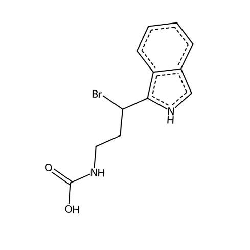 O=C(O)NCCC(Br)c1[nH]cc2ccccc12